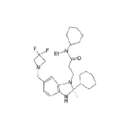 CCN(C(=O)CCN1c2cc(CN3CC(F)(F)C3)ccc2N[C@]1(C)C1CCCCC1)C1CCCCC1